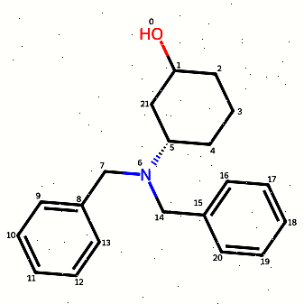 OC1CCC[C@H](N(Cc2ccccc2)Cc2ccccc2)C1